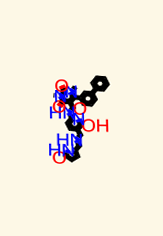 Cn1c(-c2cccc(-c3ccccc3)c2)c(C(=O)Nc2ccc(CNCC3CCC(=O)N3)c(O)n2)c(=O)n(C)c1=O